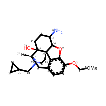 COCOc1ccc2c3c1OC1C(N)CC[C@@]4(O)[C@@H](C2)N(CC2CC2)CC[C@]314